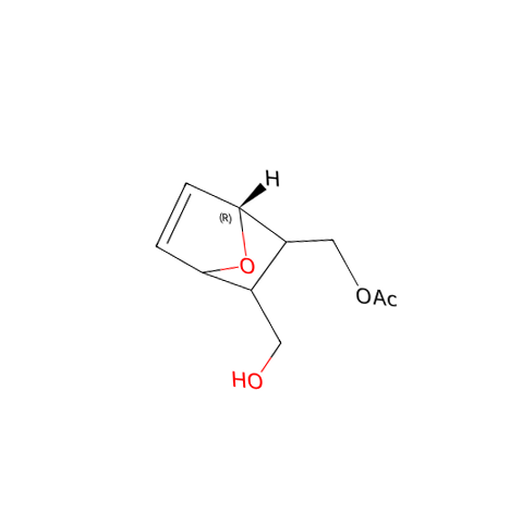 CC(=O)OCC1C(CO)C2C=C[C@H]1O2